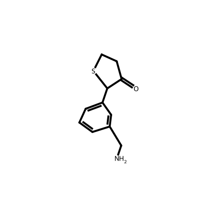 NCc1cccc(C2SCCC2=O)c1